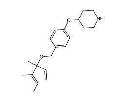 C=CC(C)(OCc1ccc(OC2CCNCC2)cc1)/C(C)=C/C